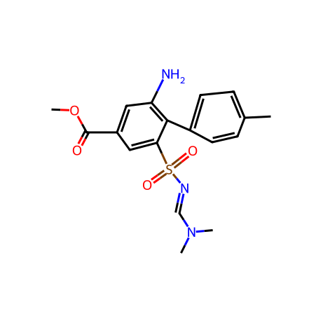 COC(=O)c1cc(N)c(-c2ccc(C)cc2)c(S(=O)(=O)N=CN(C)C)c1